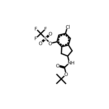 CC(C)(C)OC(=O)NC1Cc2cc(Cl)cc(OS(=O)(=O)C(F)(F)F)c2C1